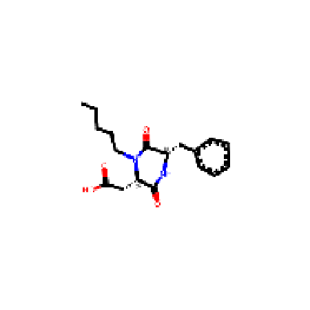 CCCCCN1C(=O)[C@H](Cc2ccccc2)NC(=O)[C@@H]1CC(=O)O